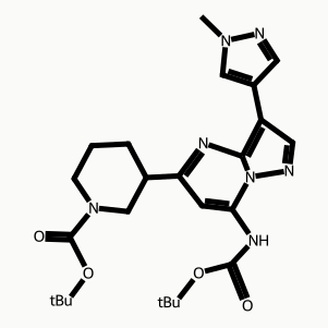 Cn1cc(-c2cnn3c(NC(=O)OC(C)(C)C)cc(C4CCCN(C(=O)OC(C)(C)C)C4)nc23)cn1